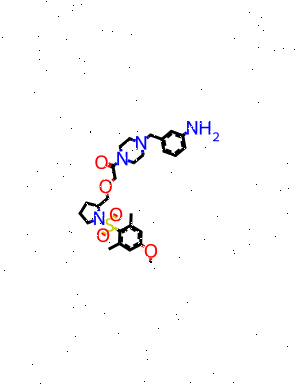 COc1cc(C)c(S(=O)(=O)N2CCCC2COCC(=O)N2CCN(Cc3cccc(N)c3)CC2)c(C)c1